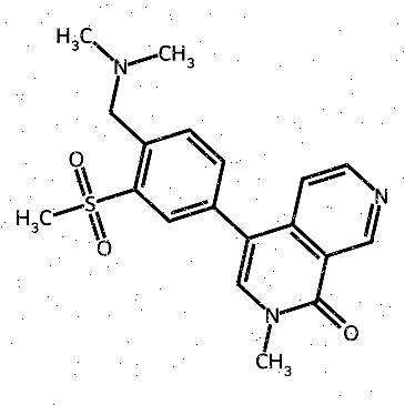 CN(C)Cc1ccc(-c2cn(C)c(=O)c3cnccc23)cc1S(C)(=O)=O